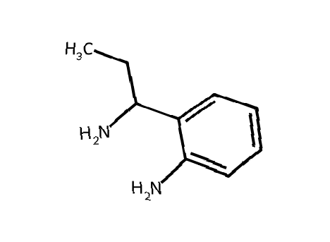 CCC(N)c1ccccc1N